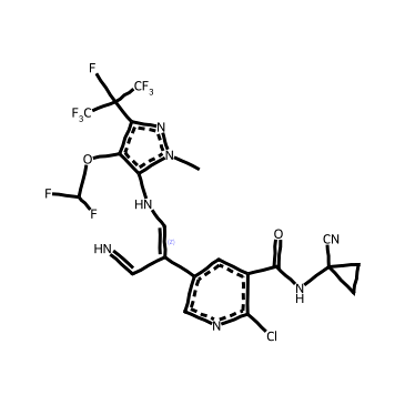 Cn1nc(C(F)(C(F)(F)F)C(F)(F)F)c(OC(F)F)c1N/C=C(\C=N)c1cnc(Cl)c(C(=O)NC2(C#N)CC2)c1